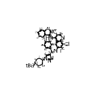 CC(C)(C)N1CCC(n2cc([C@@H](Nc3cc(Cl)c4ncc(C#N)c(N[C@@H]5CCc6ccccc65)c4c3)c3ccccc3)nn2)CC1